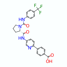 O=C(O)c1ccc(-c2ccc(NC(=O)[C@@H]3CCCN3C(=O)Nc3ccc(C(F)(F)F)cc3)cn2)cc1